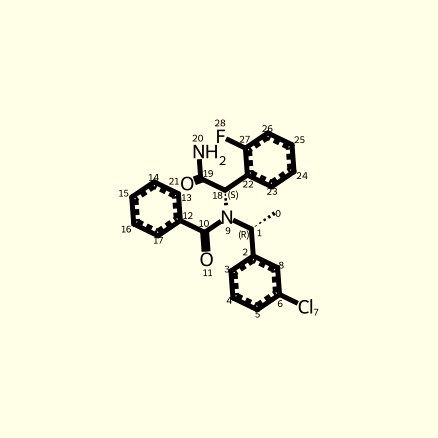 C[C@H](c1cccc(Cl)c1)N(C(=O)c1ccccc1)[C@H](C(N)=O)c1ccccc1F